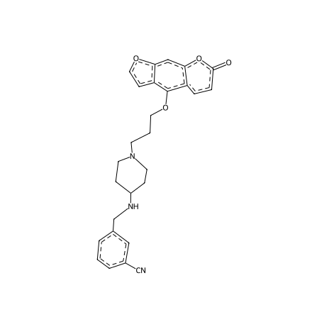 N#Cc1cccc(CNC2CCN(CCCOc3c4ccoc4cc4oc(=O)ccc34)CC2)c1